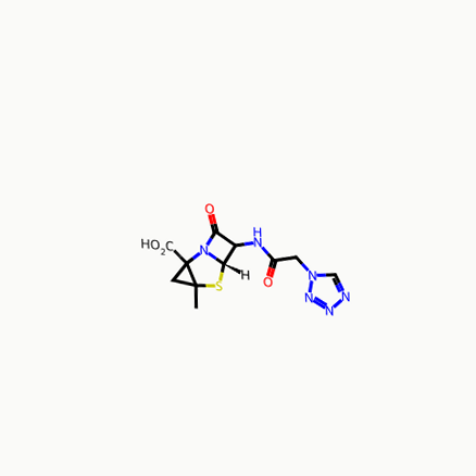 CC12CC1(C(=O)O)N1C(=O)C(NC(=O)Cn3cnnn3)[C@@H]1S2